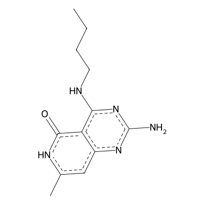 CCCCNc1nc(N)nc2cc(C)[nH]c(=O)c12